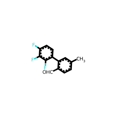 Cc1ccc(C=O)c(-c2ccc(F)c(F)c2F)c1